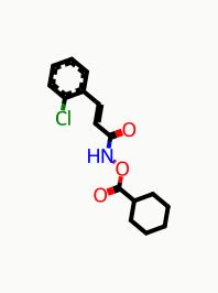 O=C(C=Cc1ccccc1Cl)NOC(=O)C1CCCCC1